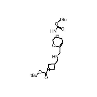 CC(C)(C)OC(=O)N[C@@H]1CC=C(CNCC2CN(C(=O)OC(C)(C)C)C2)OC1